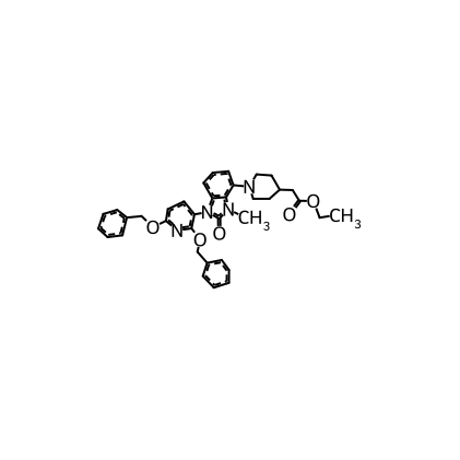 CCOC(=O)CC1CCN(c2cccc3c2n(C)c(=O)n3-c2ccc(OCc3ccccc3)nc2OCc2ccccc2)CC1